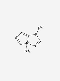 N[N+]12C=NC=C1N(O)C=N2